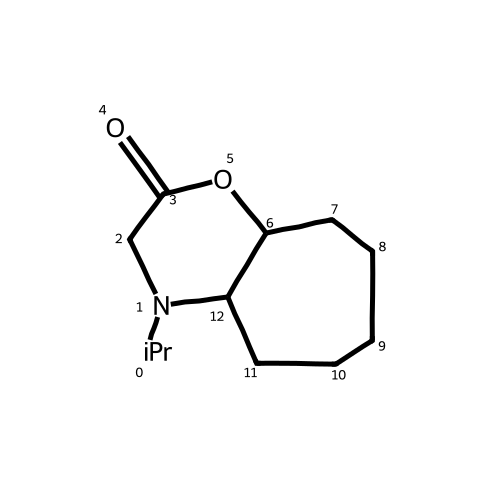 CC(C)N1CC(=O)OC2CCCCCC21